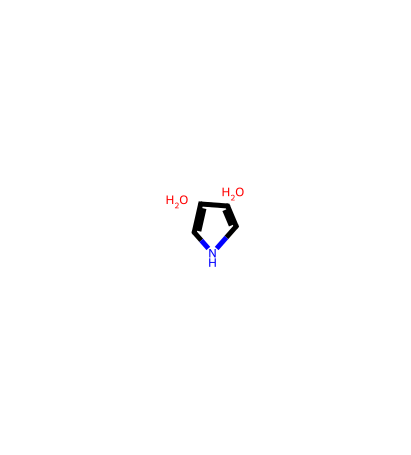 O.O.c1cc[nH]c1